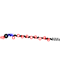 CNCCOCCOCCOCCOCCOCCOCCOCCOCCC(=O)NCCc1ccc(O)cc1